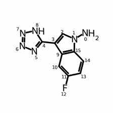 Nn1cc(-c2nnn[nH]2)c2cc(F)ccc21